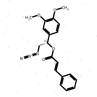 COc1ccc([C@@H](CN=[N+]=[N-])OC(=O)C=Cc2ccccc2)cc1OC